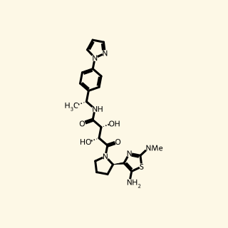 CNc1nc([C@H]2CCCN2C(=O)[C@H](O)[C@@H](O)C(=O)N[C@H](C)c2ccc(-n3cccn3)cc2)c(N)s1